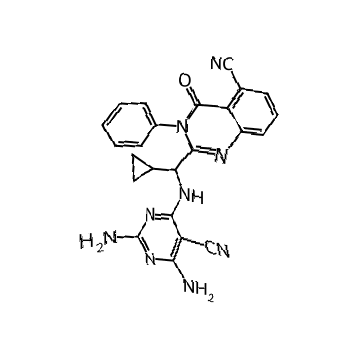 N#Cc1c(N)nc(N)nc1NC(c1nc2cccc(C#N)c2c(=O)n1-c1ccccc1)C1CC1